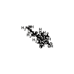 CC(C)C[C@@H](NC(=O)[C@@H](CCC(=O)O)NC(=O)[C@H](NC(=O)[C@@H]([C@@H](C)O)N1C[C@H](NC(=O)[C@H](N)CCCNC(=N)N)CC1=O)C(C)C)C(=O)N[C@H](C)C(N)=O